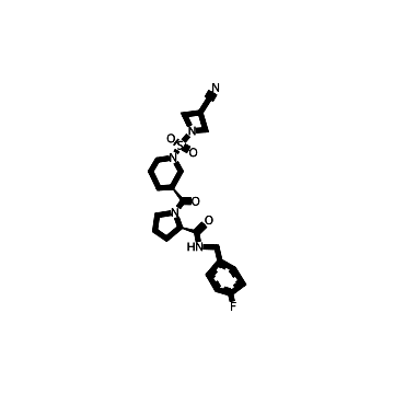 N#CC1CN(S(=O)(=O)N2CCC[C@H](C(=O)N3CCC[C@@H]3C(=O)NCc3ccc(F)cc3)C2)C1